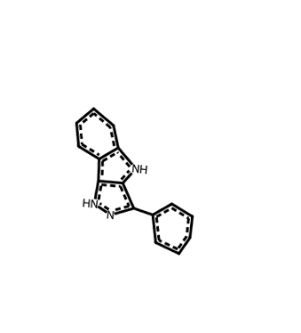 c1ccc(-c2n[nH]c3c2[nH]c2ccccc23)cc1